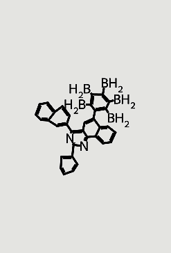 Bc1c(B)c(B)c(-c2cc3c(-c4ccc5ccccc5c4)nc(-c4ccccc4)nc3c3ccccc23)c(B)c1B